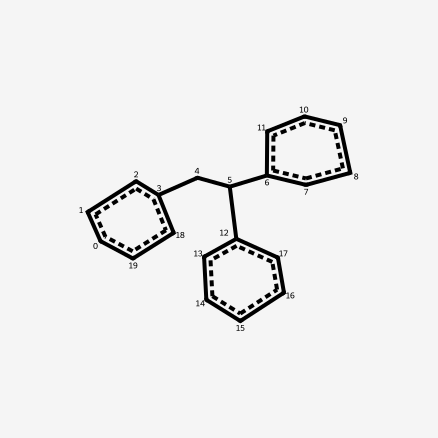 c1ccc(CC(c2ccccc2)c2ccccc2)cc1